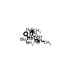 C=CCNC(=O)C(=O)C(CCC)NC(=O)[C@@H]1[C@@H]2[C@H](CN1C(=O)C(C1CCCCC1)[C@H](CN)C(C)(C)C)C2(C)C